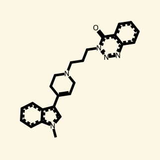 Cn1cc(C2=CCN(CCCn3nnc4ccccc4c3=O)CC2)c2ccccc21